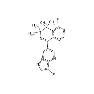 CC1(C)N=C(c2cnc3c(Br)cnn3c2)c2cccc(F)c2C1(C)C